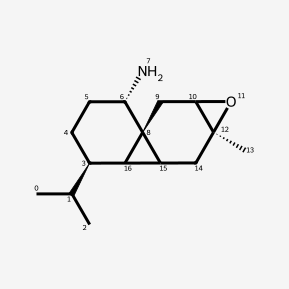 CC(C)[C@H]1CC[C@H](N)[C@]23CC4O[C@@]4(C)CC2C13